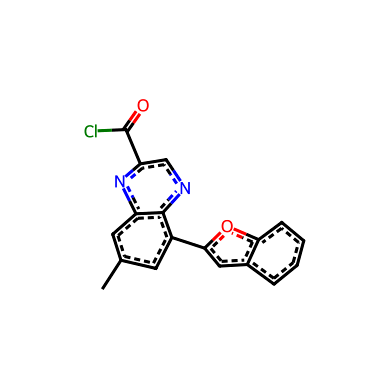 Cc1cc(-c2cc3ccccc3o2)c2ncc(C(=O)Cl)nc2c1